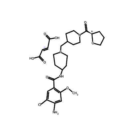 COc1cc(N)c(Cl)cc1C(=O)NC1CCN(CC2CCN(C(=O)[C@H]3CCCO3)CC2)CC1.O=C(O)/C=C/C(=O)O